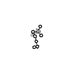 c1ccc(C2=NC(c3cccc4oc5cc(-c6ccc(-c7cccc8ccccc78)cc6)ccc5c34)NC(c3ccccc3)=N2)cc1